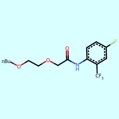 CCCCOCCOCC(=O)Nc1ccc(F)cc1C(F)(F)F